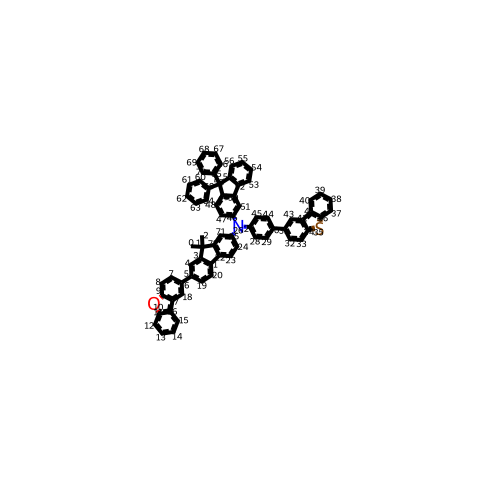 CC1(C)c2cc(-c3ccc4oc5ccccc5c4c3)ccc2-c2ccc(N(c3ccc(-c4ccc5sc6ccccc6c5c4)cc3)c3ccc4c(c3)-c3ccccc3C4(c3ccccc3)c3ccccc3)cc21